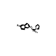 CC(C)[C@@H](COc1ccc2cc(Br)ccc2c1)N1CCCC1